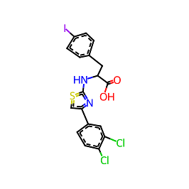 O=C(O)C(Cc1ccc(I)cc1)Nc1nc(-c2ccc(Cl)c(Cl)c2)cs1